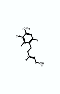 COc1cc(C)c(CCC(C)=CCO)c(C)c1Cl